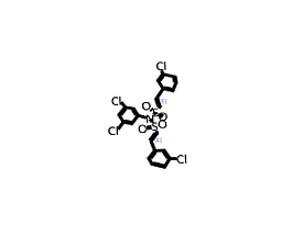 O=S(=O)(/C=C/c1cccc(Cl)c1)N(c1cc(Cl)cc(Cl)c1)S(=O)(=O)/C=C/c1cccc(Cl)c1